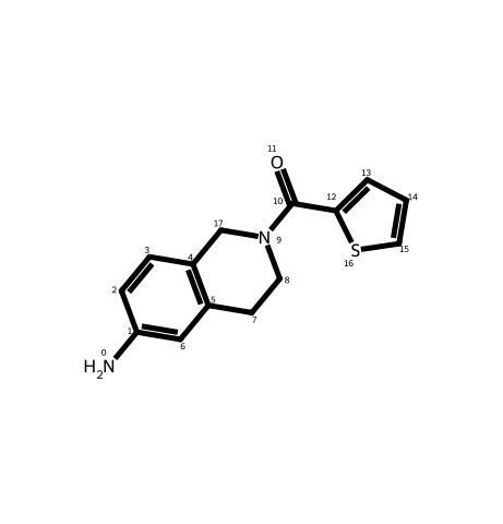 Nc1ccc2c(c1)CCN(C(=O)c1cccs1)C2